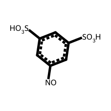 O=Nc1cc(S(=O)(=O)O)cc(S(=O)(=O)O)c1